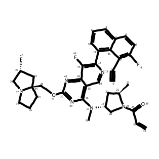 C#Cc1c(F)ccc2cccc(-c3ncc4c(N(C)[C@@H]5C[C@@H](C)N(C(=O)C=C)C5)nc(OC[C@@]56CCCN5C[C@H](F)C6)nc4c3F)c12